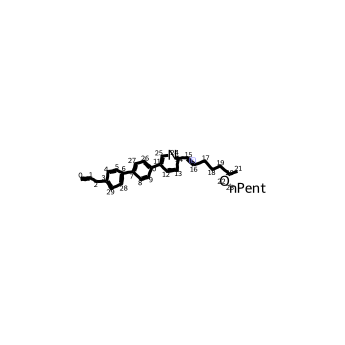 C=CCc1ccc(-c2ccc(-c3ccc(/C=C/CCCC(C)OCCCCC)nc3)cc2)cc1